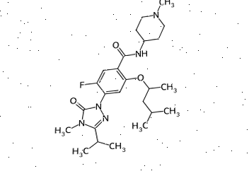 CC(C)CC(C)Oc1cc(-n2nc(C(C)C)n(C)c2=O)c(F)cc1C(=O)NC1CCN(C)CC1